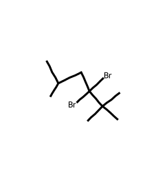 CC(C)CC(Br)(Br)C(C)(C)C